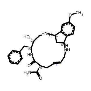 COc1ccc2c(c1)[C@H]1C[C@@H]2NC/C=C/C[C@@H](C(N)=O)C(=O)N[C@@H](Cc2ccccc2)[C@H](O)CN1